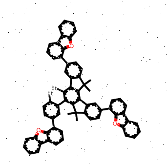 CCc1ccc(-c2cccc3c2oc2ccccc23)cc1-c1c(CC)c2c(c3c1C(C)(C)c1ccc(-c4cccc5c4oc4ccccc45)cc1-3)C(C)(C)c1ccc(-c3cccc4c3oc3ccccc34)cc1-2